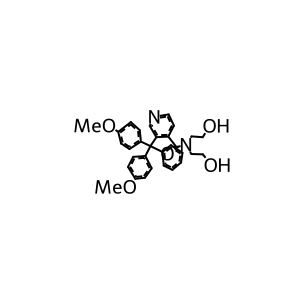 COc1ccc(C(c2ccccc2)(c2ccc(OC)cc2)c2cnccc2C(=O)N(CCO)CCO)cc1